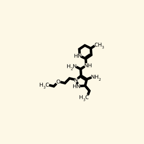 CCOCCN1NC(CC)C(N)=C1C(N)NC1=CC(C)CCN1